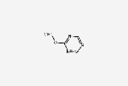 O=COc1ncncn1